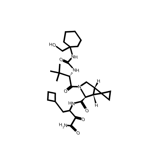 CC(C)(C)[C@H](NC(=O)NC1(CO)CCCCC1)C(=O)N1C[C@H]2[C@@H]([C@H]1C(=O)NC(CC1CCC1)C(=O)C(N)=O)C21CC1